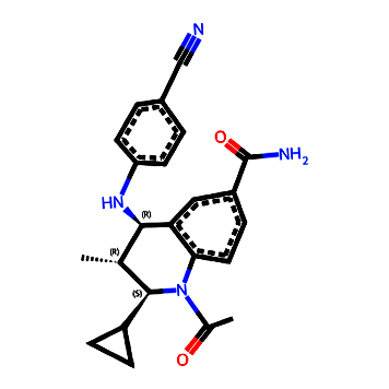 CC(=O)N1c2ccc(C(N)=O)cc2[C@H](Nc2ccc(C#N)cc2)[C@@H](C)[C@@H]1C1CC1